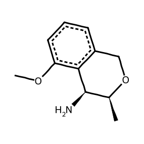 COc1cccc2c1[C@H](N)[C@H](C)OC2